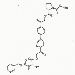 CC(C)[C@H](NC(=O)OCc1ccccc1)C(=O)OCC(=O)c1ccc(-c2ccc(C(=O)COC(=O)[C@@H]3CCCN3C(=O)OC(C)(C)C)cc2)cc1